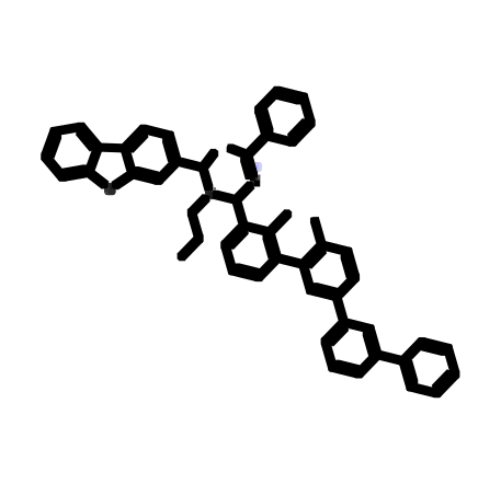 CCCN(C(C)c1ccc2c(c1)oc1ccccc12)C(/N=C(\C)c1ccccc1)c1cccc(-c2cc(-c3cccc(-c4ccccc4)c3)ccc2C)c1C